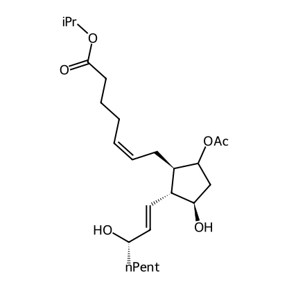 CCCCC[C@H](O)/C=C/[C@H]1[C@H](O)CC(OC(C)=O)[C@@H]1C/C=C\CCCC(=O)OC(C)C